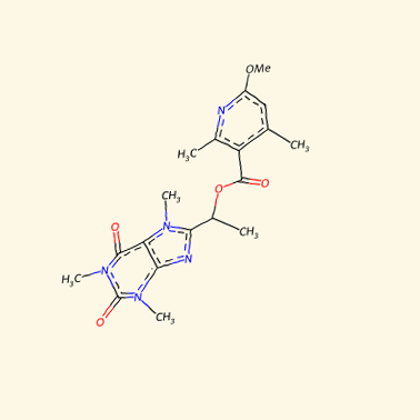 COc1cc(C)c(C(=O)OC(C)c2nc3c(c(=O)n(C)c(=O)n3C)n2C)c(C)n1